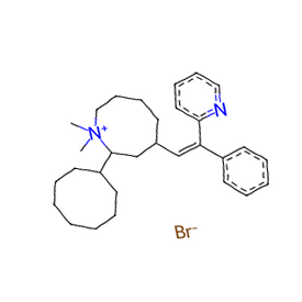 C[N+]1(C)CCCCC(C=C(c2ccccc2)c2ccccn2)CC1C1CCCCCCC1.[Br-]